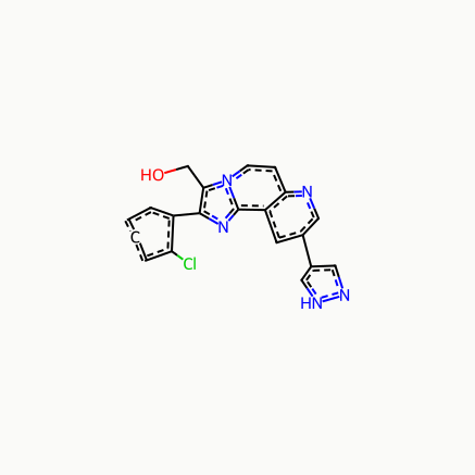 OCc1c(-c2ccccc2Cl)nc2c3cc(-c4cn[nH]c4)cnc3ccn12